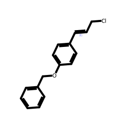 ClC/C=C/c1ccc(OCc2ccccc2)cc1